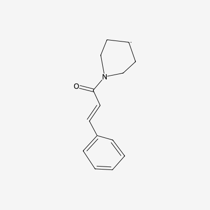 O=C(C=Cc1ccccc1)N1CC[CH]CC1